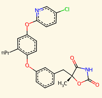 CCCc1cc(Oc2ccc(Cl)cn2)ccc1Oc1cccc(C[C@@]2(C)OC(=O)NC2=O)c1